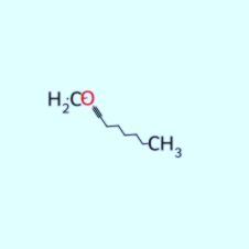 [CH2]OC#CCCCCCC